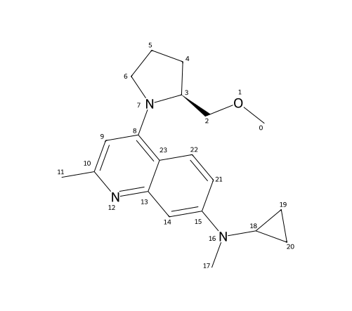 COC[C@@H]1CCCN1c1cc(C)nc2cc(N(C)C3CC3)ccc12